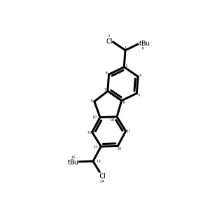 CC(C)(C)C(Cl)c1ccc2c(c1)Cc1cc(C(Cl)C(C)(C)C)ccc1-2